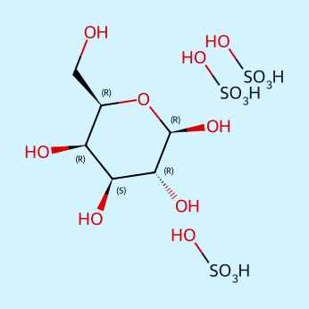 O=S(=O)(O)O.O=S(=O)(O)O.O=S(=O)(O)O.OC[C@H]1O[C@@H](O)[C@H](O)[C@@H](O)[C@H]1O